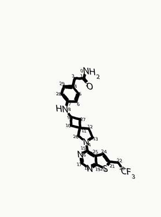 NC(=O)Cc1ccc(NC2CC3(CCN(c4ncnc5sc(CC(F)(F)F)cc45)C3)C2)cc1